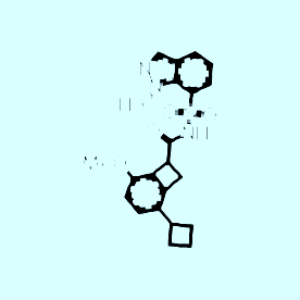 COc1ccc(C2CCC2)c2c1C(C(=O)NS(=O)(=O)c1cccc3cnn(C)c13)C2